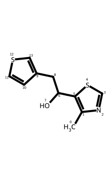 Cc1ncsc1C(O)Cc1ccsc1